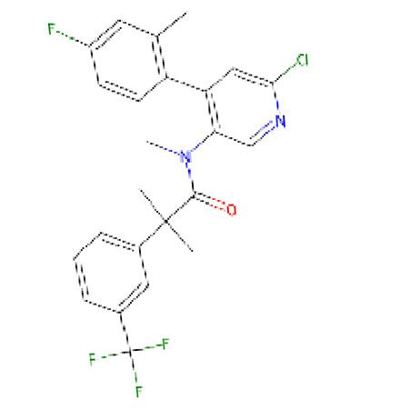 Cc1cc(F)ccc1-c1cc(Cl)ncc1N(C)C(=O)C(C)(C)c1cccc(C(F)(F)F)c1